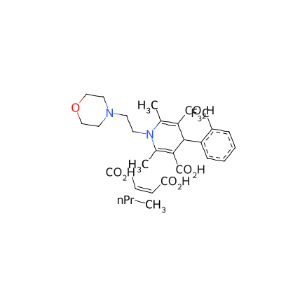 CC1=C(C(=O)O)C(c2ccccc2C(F)(F)F)C(C(=O)O)=C(C)N1CCN1CCOCC1.CCCC.O=C(O)/C=C\C(=O)O